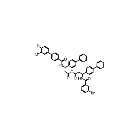 O=C(CC(NC(=O)c1ccc(-c2ccc(F)c(Cl)c2)cc1)c1ccc(-c2ccccc2)cc1)OC(=O)CC(NC(=O)c1cccc(Br)c1)c1ccc(-c2ccccc2)cc1